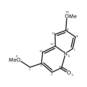 COCc1cc(=O)n2ccc(OC)cc2c1